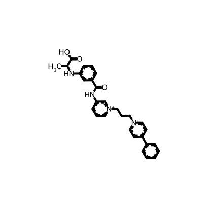 CC(Nc1cccc(C(=O)Nc2ccc[n+](CCC[n+]3ccc(-c4ccccc4)cc3)c2)c1)C(=O)O